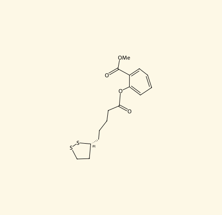 COC(=O)c1ccccc1OC(=O)CCCC[C@@H]1CCSS1